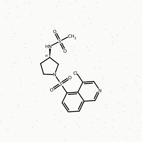 CS(=O)(=O)N[C@@H]1CCN(S(=O)(=O)c2cccc3cncc(Cl)c23)C1